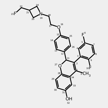 CC1=C(c2cc(F)ccc2F)C(c2ccc(OCCN3CC(CF)C3)cc2)Oc2ccc(O)cc21